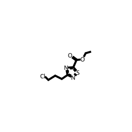 CCOC(=O)c1nc(CCCCl)ns1